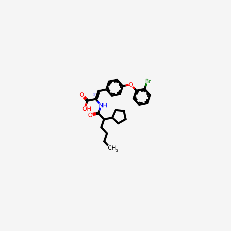 CCCCC(C(=O)N/C(=C\c1ccc(Oc2ccccc2Br)cc1)C(=O)O)C1CCCC1